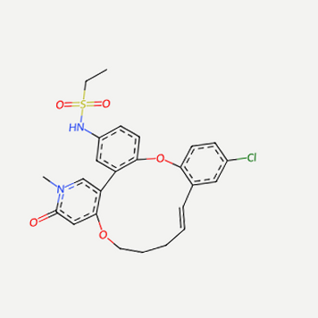 CCS(=O)(=O)Nc1ccc2c(c1)-c1cn(C)c(=O)cc1OCCC/C=C/c1cc(Cl)ccc1O2